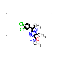 CNC(=O)c1nnc2c(-c3ccc(Cl)c(Cl)c3)c(C)nn2c1C